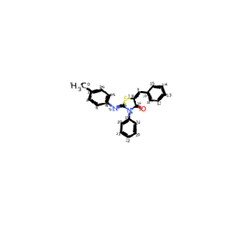 Cc1ccc(N=C2SC(=Cc3ccccc3)C(=O)N2c2ccccc2)cc1